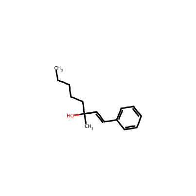 CCCCCC(C)(O)C=Cc1ccccc1